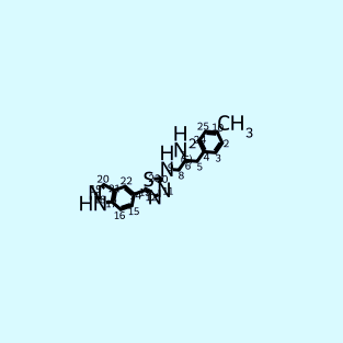 Cc1ccc(C[C@H](N)CNc2nnc(-c3ccc4[nH]ncc4c3)s2)cc1